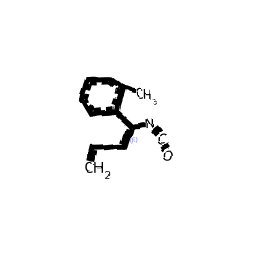 C=C/C=C(/N=C=O)c1ccccc1C